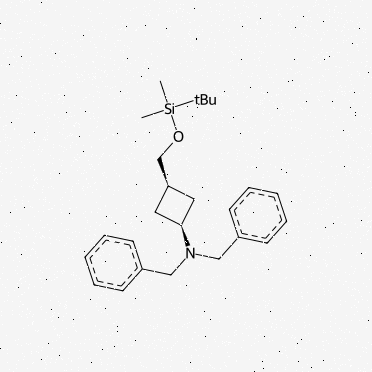 CC(C)(C)[Si](C)(C)OC[C@H]1C[C@@H](N(Cc2ccccc2)Cc2ccccc2)C1